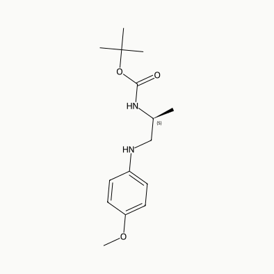 COc1ccc(NC[C@H](C)NC(=O)OC(C)(C)C)cc1